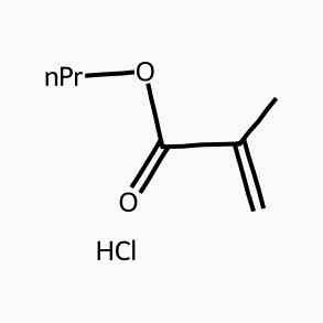 C=C(C)C(=O)OCCC.Cl